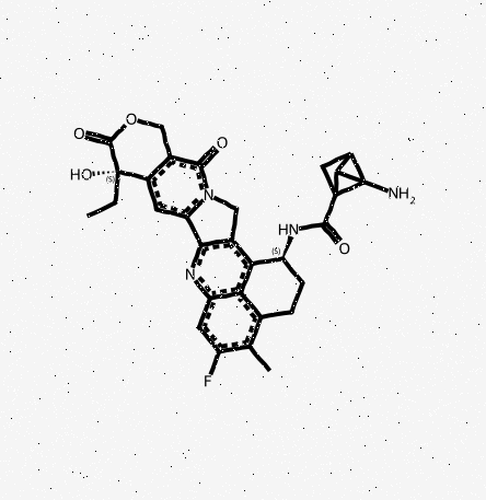 CC[C@@]1(O)C(=O)OCc2c1cc1n(c2=O)Cc2c-1nc1cc(F)c(C)c3c1c2[C@@H](NC(=O)C12CC(C1)C2N)CC3